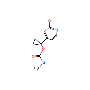 CNC(=O)OC1(c2ccnc(Br)c2)CC1